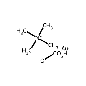 C[N+](C)(C)C.O=C([O-])O.[Au]